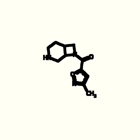 Cc1cc(C(=O)N2CC3CCNCC32)on1